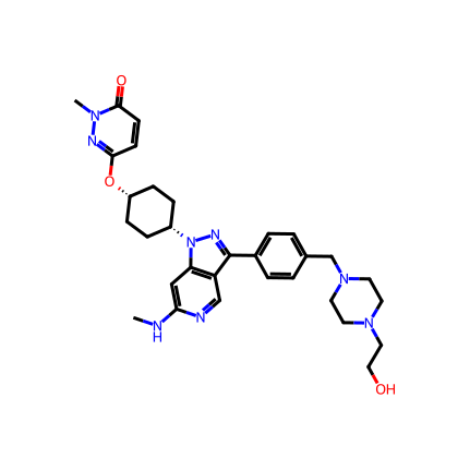 CNc1cc2c(cn1)c(-c1ccc(CN3CCN(CCO)CC3)cc1)nn2[C@H]1CC[C@@H](Oc2ccc(=O)n(C)n2)CC1